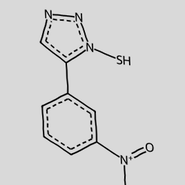 O=[N+]([O-])c1cccc(-c2cnnn2S)c1